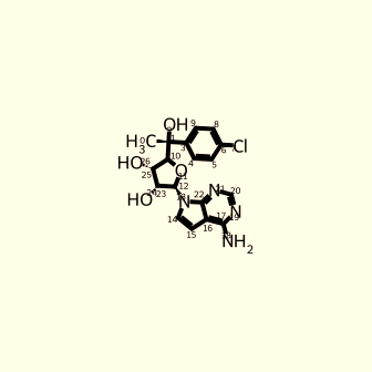 C[C@@](O)(c1ccc(Cl)cc1)C1O[C@@H](n2ccc3c(N)ncnc32)[C@H](O)[C@@H]1O